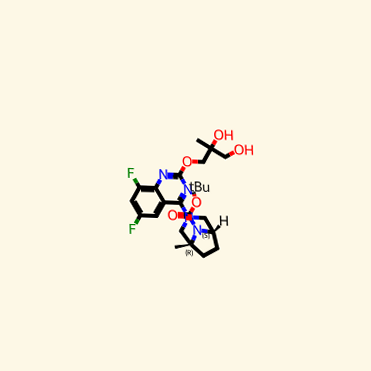 CC(O)(CO)COc1nc(N2C[C@@H]3CC[C@](C)(C2)N3C(=O)OC(C)(C)C)c2cc(F)cc(F)c2n1